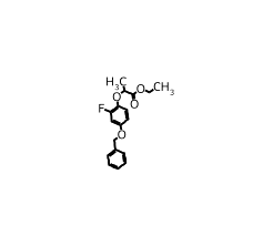 CCOC(=O)C(C)Oc1ccc(OCc2ccccc2)cc1F